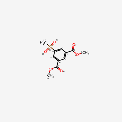 COC(=O)c1cc(C(=O)OC)cc(S(C)(=O)=O)c1